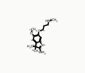 CNCCCOc1cc2c(cc1OC)C(C)(C)C(N)=N2